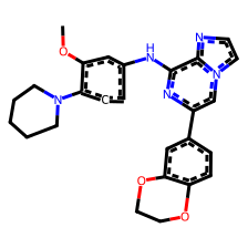 COc1cc(Nc2nc(-c3ccc4c(c3)OCCO4)cn3ccnc23)ccc1N1CCCCC1